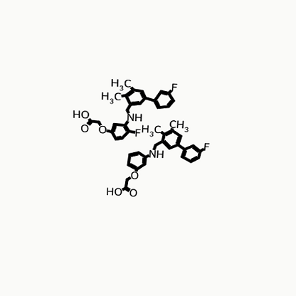 Cc1cc(-c2cccc(F)c2)cc(CNc2cc(OCC(=O)O)ccc2F)c1C.Cc1cc(-c2cccc(F)c2)cc(CNc2cccc(OCC(=O)O)c2)c1C